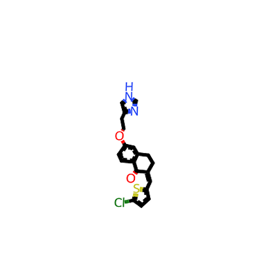 O=C1C(=Cc2ccc(Cl)s2)CCc2cc(OCCc3c[nH]cn3)ccc21